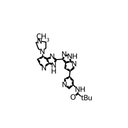 CN1CCN(c2ccnc3[nH]c(-c4n[nH]c5ncc(-c6cncc(NC(=O)C(C)(C)C)c6)cc45)nc23)CC1